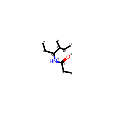 C[CH]C(=O)NC(CC)C(C)CC